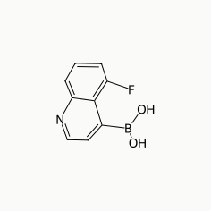 OB(O)c1ccnc2cccc(F)c12